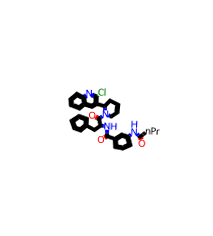 CCCC(=O)Nc1cccc(C(=O)NC(Cc2ccccc2)C(=O)N2CC=CCC2c2cc3ccccc3nc2Cl)c1